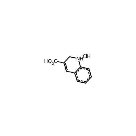 Cl.O=C(O)C1=Cc2ccccc2NC1